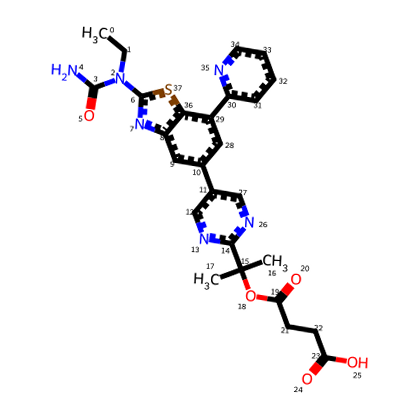 CCN(C(N)=O)c1nc2cc(-c3cnc(C(C)(C)OC(=O)CCC(=O)O)nc3)cc(-c3ccccn3)c2s1